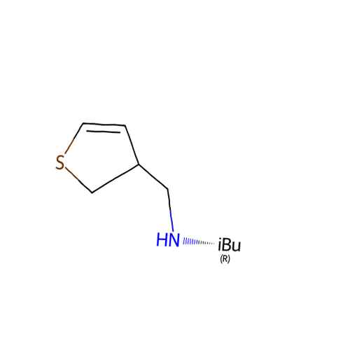 CC[C@@H](C)NCC1C=CSC1